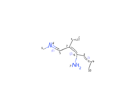 C=CC(/C=N/C)=C(N)\C=C/C